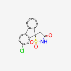 O=C1CC2(c3ccccc3-c3ccc(Cl)cc32)S(=O)(=O)N1